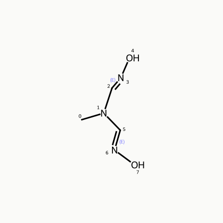 CN(/C=N/O)/C=N/O